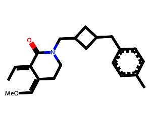 C/C=C1/C(=O)N(CC2CC(Cc3ccc(C)cc3)C2)CC/C1=C/OC